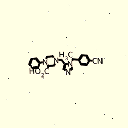 C[C@H](c1ccc(C#N)cc1)n1cncc1CN1CCN(c2ccccc2)C(C(=O)O)C1